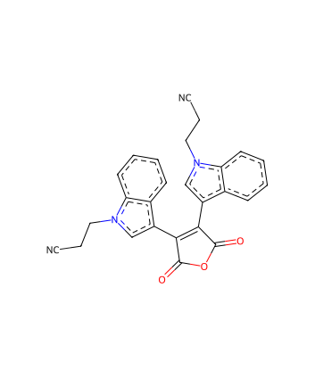 N#CCCn1cc(C2=C(c3cn(CCC#N)c4ccccc34)C(=O)OC2=O)c2ccccc21